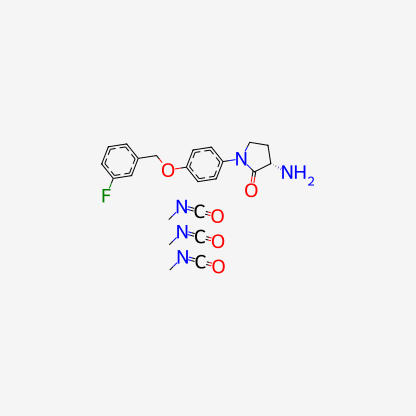 CN=C=O.CN=C=O.CN=C=O.N[C@H]1CCN(c2ccc(OCc3cccc(F)c3)cc2)C1=O